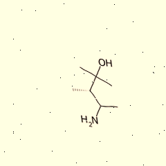 CC(N)[C@H](C)C(C)(C)O